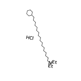 CCN(CC)CCCCCCCCCCCCCCCCCCC1CCCCC1.Cl